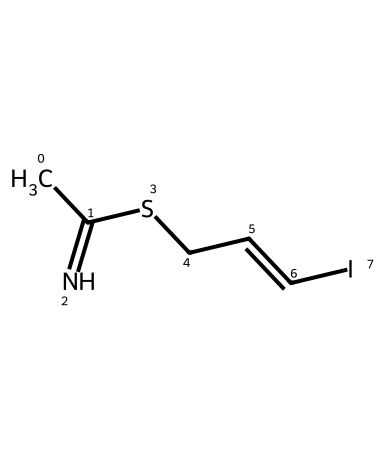 CC(=N)SC/C=C/I